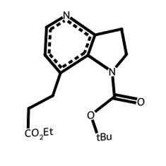 CCOC(=O)CCc1ccnc2c1N(C(=O)OC(C)(C)C)CC2